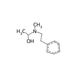 CC(O)N(C)CCc1ccccc1